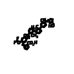 Cc1c(-c2ccc(CN3CC[C@H](CO)C3)c(C#N)c2)cccc1-c1cccc(-c2nc3cc(CN4CCC[C@H]4C(=O)O)c(OC(F)F)cc3o2)c1C